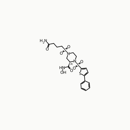 NC(=O)CCCS(=O)(=O)N1CCN(S(=O)(=O)c2ccc(-c3ccccc3)s2)[C@@H](C(=O)NO)C1